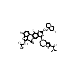 CN(C)C(=O)c1cc2n(n1)CCCN(c1nc(OC[C@@]34CCCN3C[C@H](F)C4)nc3c(F)c(-c4ccc(F)c5sc(NC(=O)O)c(C#N)c45)c(F)cc13)C2